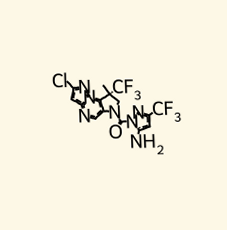 C[C@@]1(C(F)(F)F)CN(C(=O)n2nc(C(F)(F)F)cc2N)c2cnc3cc(Cl)nn3c21